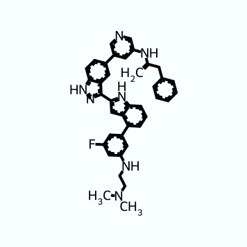 C=C(Cc1ccccc1)Nc1cncc(-c2ccc3[nH]nc(-c4cc5c(-c6cc(F)cc(NCCN(C)C)c6)cccc5[nH]4)c3c2)c1